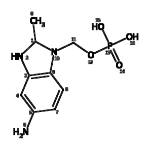 CC1Nc2cc(N)ccc2N1COP(=O)(O)O